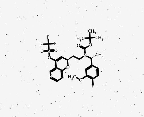 COc1cc([C@@H](C)N(CC[C@@H]2C=C(OS(=O)(=O)C(F)(F)F)c3ccccc3O2)C(=O)OC(C)(C)C)ccc1F